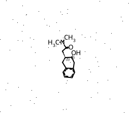 CN(C)C(=O)C[C@@H]1Cc2ccccc2C[C@H]1O